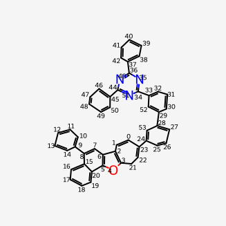 C1=Cc2c(oc3c2cc(-c2ccccc2)c2ccccc23)CC=C1c1cccc(-c2cccc(-c3nc(-c4ccccc4)nc(-c4ccccc4)n3)c2)c1